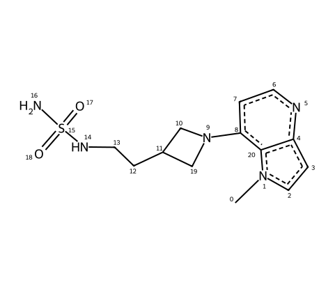 Cn1ccc2nccc(N3CC(CCNS(N)(=O)=O)C3)c21